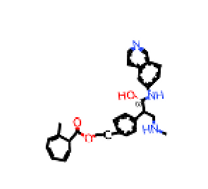 CNCC(c1ccc(CCOC(=O)C2C=CC=CC=C2C)cc1)[C@H](O)Nc1ccc2cnccc2c1